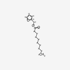 CCCCCCCCCC(=O)OCc1ccco1